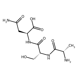 C[C@H](N)C(=O)N[C@H](CO)C(=O)N[C@@H](CC(N)=O)C(=O)O